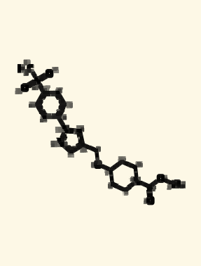 CC(C)(C)OC(=O)N1CCC(OCc2cnn(-c3ccc(S(C)(=O)=O)cc3)c2)CC1